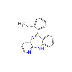 CCc1ccccc1C1=Nc2cccnc2Nc2ccccc21